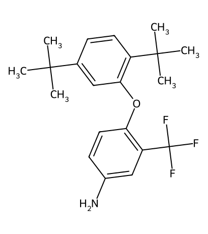 CC(C)(C)c1ccc(C(C)(C)C)c(Oc2ccc(N)cc2C(F)(F)F)c1